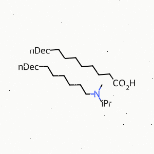 CCCCCCCCCCCCCCCCCC(=O)O.CCCCCCCCCCCCCCCCN(C)C(C)C